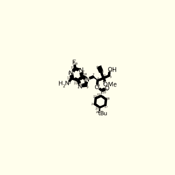 C#CC(CO)(OC)[C@H](Cn1cnc2c(N)nc(F)nc21)OC(=O)[C@H]1CC[C@H](C(C)(C)C)CC1